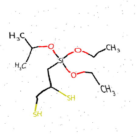 CCO[Si](CC(S)CS)(OCC)OC(C)C